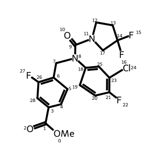 COC(=O)c1ccc(CN(C(=O)N2CCC(F)(F)C2)c2ccc(F)c(Cl)c2)c(F)c1